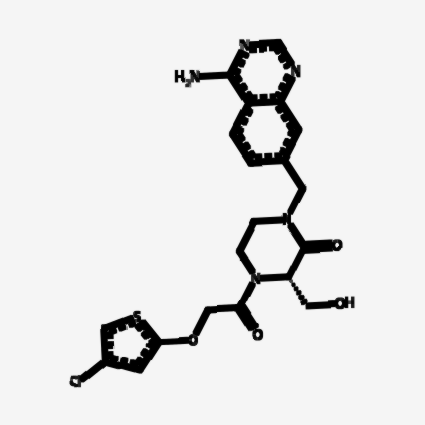 Nc1ncnc2cc(CN3CCN(C(=O)COc4cc(Cl)cs4)[C@@H](CO)C3=O)ccc12